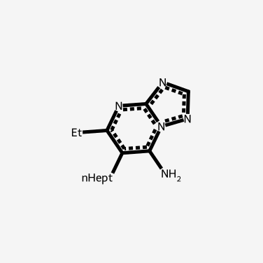 CCCCCCCc1c(CC)nc2ncnn2c1N